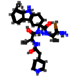 CCC(C)[C@H](NC(=O)Cc1ccncc1)C(=O)N[C@]1(C(=O)NC(C(N)=S)[C@@H](C)CC)CCc2[nH]c3c(C(F)(F)F)cccc3c2C1